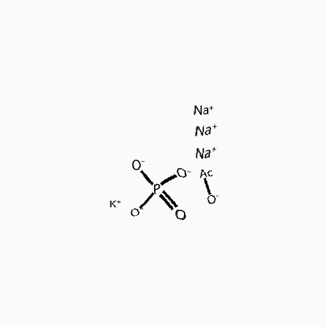 CC(=O)[O-].O=P([O-])([O-])[O-].[K+].[Na+].[Na+].[Na+]